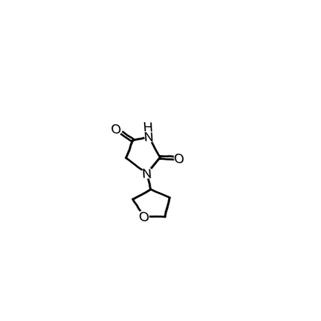 O=C1CN(C2CCOC2)C(=O)N1